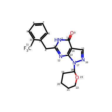 O=c1[nH]c(Cc2ccccc2C(F)(F)F)nc2c1cnn2C1CCCCO1